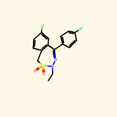 CCN1N=C(c2ccc(F)cc2)c2cc(Cl)ccc2CS1(=O)=O